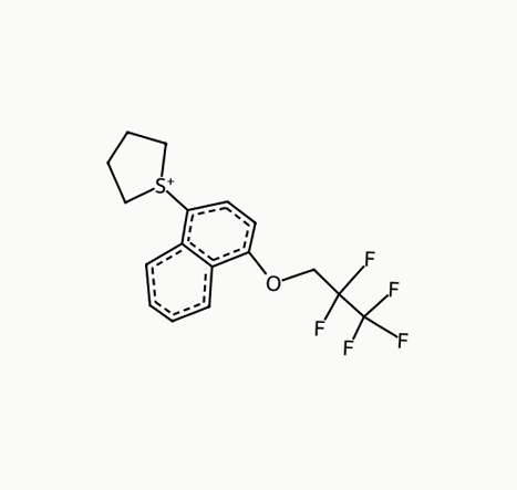 FC(F)(F)C(F)(F)COc1ccc([S+]2CCCC2)c2ccccc12